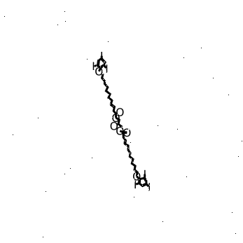 O=C(COC(=O)CC=CCCCCCCCCCOc1c(I)cc(I)cc1I)COC(=O)CC=CCCCCCCCCCOc1c(I)cc(I)cc1I